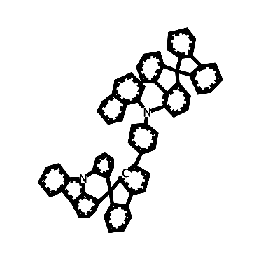 c1ccc2c(c1)-c1ccccc1C21c2ccccc2-c2c(N(c3ccc(-c4ccc5c(c4)C4(c6ccccc6-5)c5ccccc5-n5c6ccccc6c6cccc4c65)cc3)c3cccc4ccccc34)cccc21